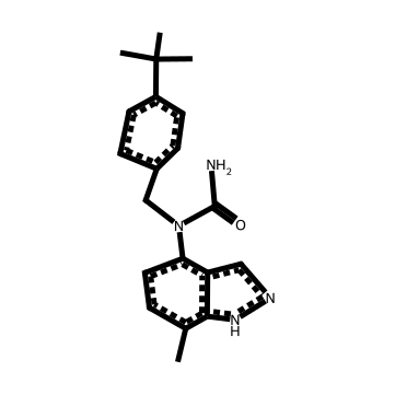 Cc1ccc(N(Cc2ccc(C(C)(C)C)cc2)C(N)=O)c2cn[nH]c12